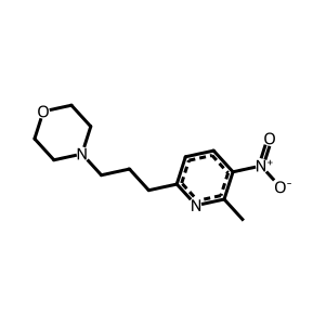 Cc1nc(CCCN2CCOCC2)ccc1[N+](=O)[O-]